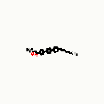 CCCCCCCC1CCC(c2ccc(-c3ccc(C(=O)CC(C)=O)cc3)cc2)CC1